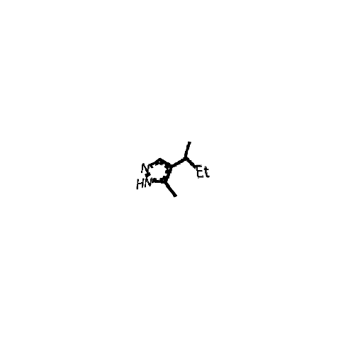 CCC(C)c1cn[nH]c1C